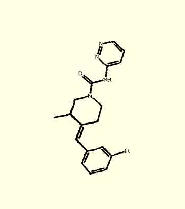 CCc1cccc(C=C2CCN(C(=O)Nc3cccnn3)CC2C)c1